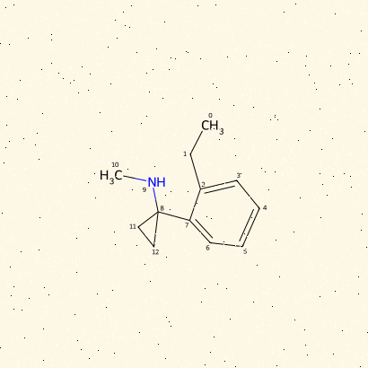 CCc1ccccc1C1(NC)CC1